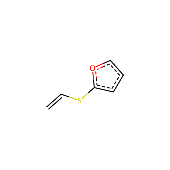 C=CSc1ccco1